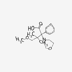 COCC(C)(C)C(C(=O)O)(c1ccccc1)N1CCOCC1